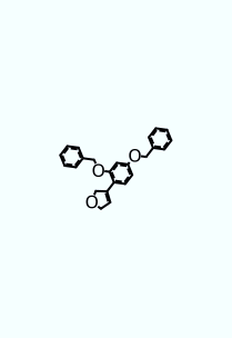 C1=C(c2ccc(OCc3ccccc3)cc2OCc2ccccc2)COC1